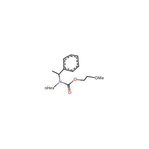 CCCCCCN(C(=O)OCCOC)C(C)c1ccccc1